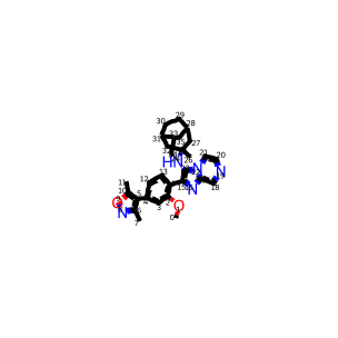 COc1cc(-c2c(C)noc2C)ccc1-c1nc2cnccn2c1NC1(C)CC2CCC(C1)C(C)C2